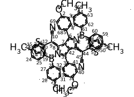 COc1ccc(-c2c3/c(=C(\C#N)c4nccs4)n(B(c4ccc(C)cc4)c4ccc(C)cc4)c(-c4ccc(OC)cc4)c3/c(=C(\C#N)c3nccs3)n2B(c2ccc(C)cc2)c2ccc(C)cc2)cc1